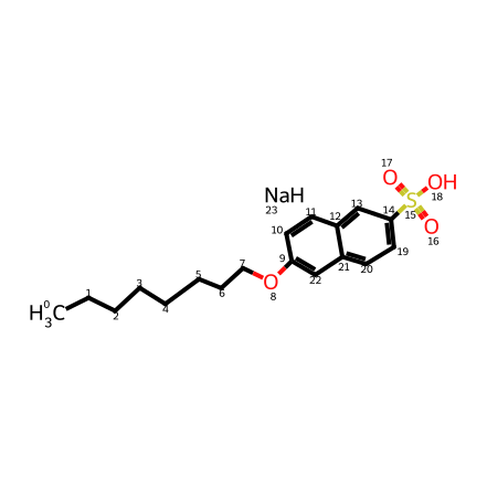 CCCCCCCCOc1ccc2cc(S(=O)(=O)O)ccc2c1.[NaH]